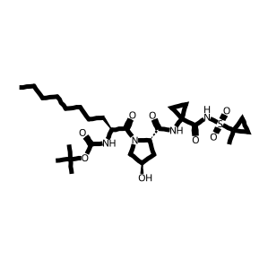 CCCCCCCC[C@H](NC(=O)OC(C)(C)C)C(=O)N1C[C@H](O)C[C@H]1C(=O)NC1(C(=O)NS(=O)(=O)C2(C)CC2)CC1